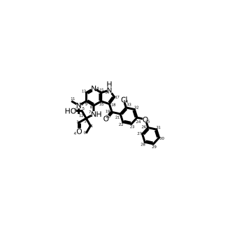 CCC(C=O)(CO)Nc1c(N(C)C)cnc2[nH]cc(C(=O)c3ccc(Oc4ccccc4)cc3Cl)c12